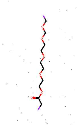 O=C(CI)OCCOCCOCCOCOCI